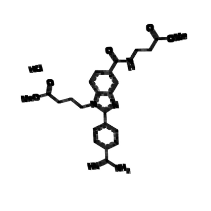 COC(=O)CCCn1c(-c2ccc(C(=N)N)cc2)nc2cc(C(=O)NCCC(=O)OC)ccc21.Cl